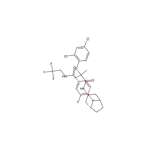 CC(C)(Oc1ccc(Cl)cc1Cl)C(=O)NC1CC2CCC(C1)N2c1ccc(C(=O)NCC(F)(F)F)cc1F